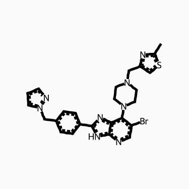 Cc1nc(CN2CCN(c3c(Br)cnc4[nH]c(-c5ccc(Cn6cccn6)cc5)nc34)CC2)cs1